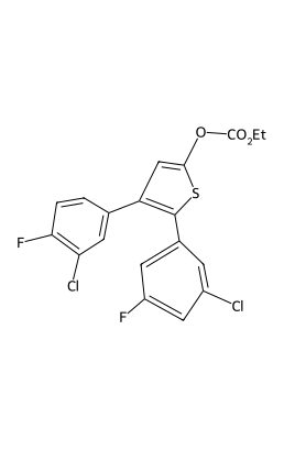 CCOC(=O)Oc1cc(-c2ccc(F)c(Cl)c2)c(-c2cc(F)cc(Cl)c2)s1